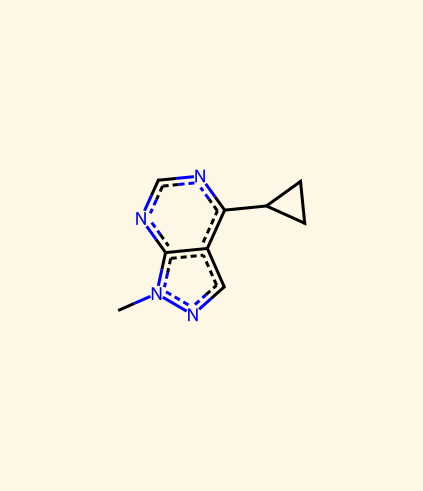 Cn1ncc2c(C3CC3)ncnc21